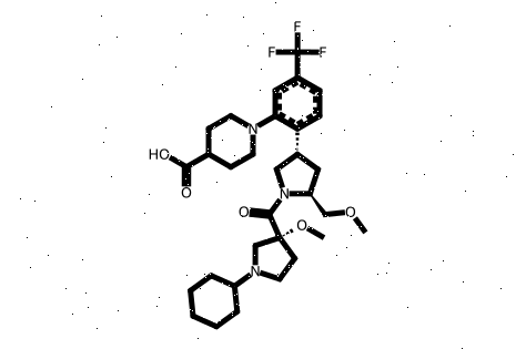 COC[C@@H]1C[C@@H](c2ccc(C(F)(F)F)cc2N2CCC(C(=O)O)CC2)CN1C(=O)[C@@]1(OC)CCN(C2CCCCC2)C1